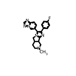 CN1CCC2Cn3c(nc(-c4ccc(F)cc4)c3-c3ccc4ncnn4c3)C2C1